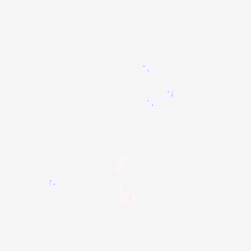 CCCCCn1nc(C(C)C)nc1Cc1ccc(-c2cnccc2C(=O)O)cc1